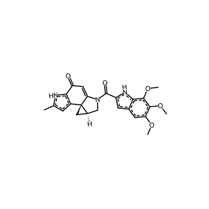 COc1cc2cc(C(=O)N3C[C@H]4C[C@@]45C3=CC(=O)c3[nH]c(C)cc35)[nH]c2c(OC)c1OC